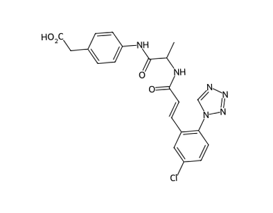 CC(NC(=O)/C=C/c1cc(Cl)ccc1-n1cnnn1)C(=O)Nc1ccc(CC(=O)O)cc1